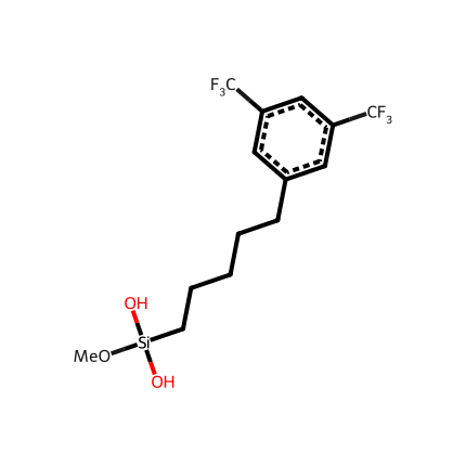 CO[Si](O)(O)CCCCCc1cc(C(F)(F)F)cc(C(F)(F)F)c1